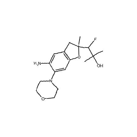 CC(C)(O)C(F)C1(C)Cc2cc(N)c(N3CCOCC3)cc2O1